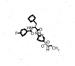 CCNS(=O)(=O)c1ccc(NC(=O)[C@H](Cc2ccccc2)NC(=O)c2ccc(F)cc2)nc1